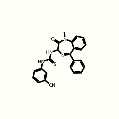 CN1C(=O)C(NC(=S)Nc2cccc(C#N)c2)N=C(c2ccccc2)c2ccccc21